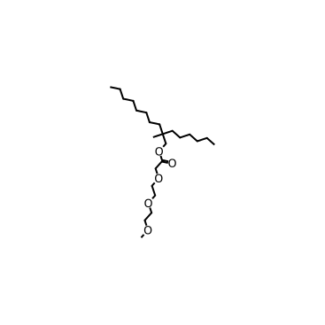 CCCCCCCCC(C)(CCCCCC)COC(=O)COCCOCCOC